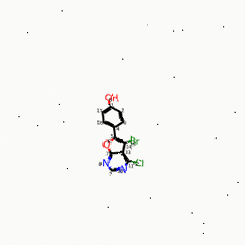 Oc1ccc(-c2oc3ncnc(Cl)c3c2Br)cc1